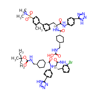 CC(C)(C)OC(=O)NC[C@H]1CC[C@H](C(=O)N(c2ccc(-c3nnn[nH]3)cc2)[C@@H](Cc2cccc(Br)c2)C(N)=O)CC1.Cc1cc(S(=O)(=O)N(C)C)ccc1-c1cccc(C[C@H](NC(=O)[C@H]2CC[C@H](CNC(=O)O)CC2)C(=O)Nc2ccc(-c3nnn[nH]3)cc2)c1